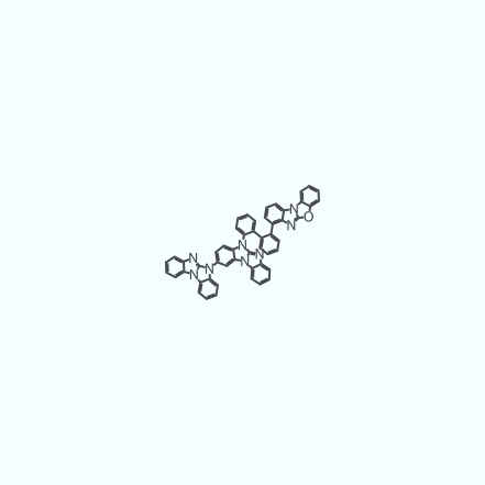 c1ccc(-c2cccc3c2nc2oc4ccccc4n23)c(-c2ccccc2-n2c3ccc(-n4c5ccccc5n5c6ccccc6nc45)cc3n3c4ccccc4nc23)c1